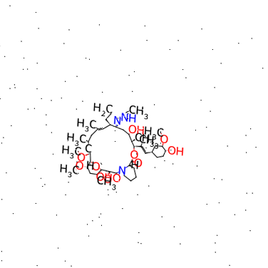 C=CC[C@@H]1/C=C(\C)C[C@H](C)C[C@H](OC)[C@H]2O[C@@](O)(C(=O)C(=O)N3CCCC[C@H]3C(=O)O[C@H](/C(C)=C/[C@@H]3CC[C@@H](O)[C@H](OC)C3)[C@H](C)[C@@H](O)CC1=NNCC)[C@H](C)C[C@@H]2OC